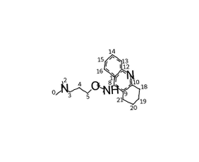 CN(C)CCCONc1c2c(nc3ccccc13)CCCC2